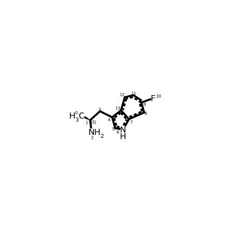 C[C@H](N)Cc1c[nH]c2cc(F)ccc12